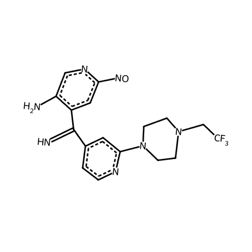 N=C(c1ccnc(N2CCN(CC(F)(F)F)CC2)c1)c1cc(N=O)ncc1N